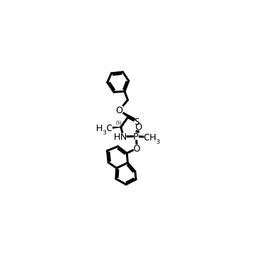 C[C@H](NP(C)(=O)Oc1cccc2ccccc12)C(=S)OCc1ccccc1